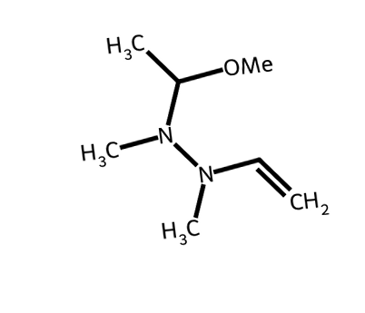 C=CN(C)N(C)C(C)OC